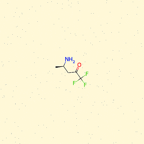 C[C@@H](N)CC(=O)C(F)(F)F